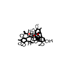 COc1cc2c(cc1O)CCN[C@]21CS[C@@H]2c3c(OC(C)=O)c(C)c4c(c3[C@H](COC1=O)N1C[C@@H]3Cc5cc(C)c(OC)c(O)c5[C@H]([C@H]21)N3C)OCO4